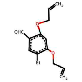 C=CCOc1cc(OCC=C)c(CC)cc1C=O